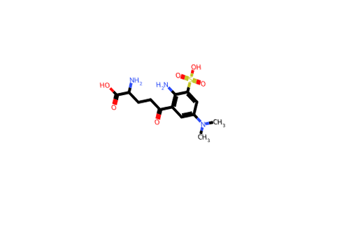 CN(C)c1cc(C(=O)CCC(N)C(=O)O)c(N)c(S(=O)(=O)O)c1